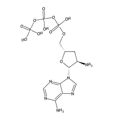 Nc1ncnc2c1ncn2[C@@H]1O[C@H](COP(=O)(O)OP(=O)(O)OP(=O)(O)O)C[C@H]1N